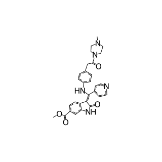 COC(=O)c1ccc2c(c1)NC(=O)C2=C(Nc1ccc(CC(=O)N2CCN(C)CC2)cc1)c1ccncc1